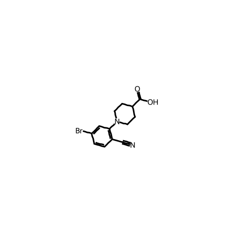 N#Cc1ccc(Br)cc1N1CCC(C(=O)O)CC1